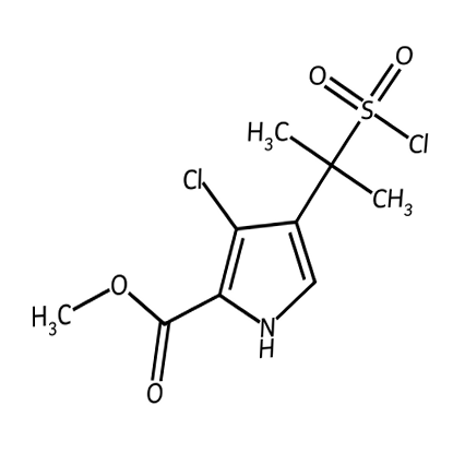 COC(=O)c1[nH]cc(C(C)(C)S(=O)(=O)Cl)c1Cl